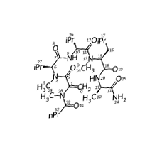 C=C(C(=O)N(C)[C@H](C(=O)N[C@H](C(=O)N(C)[C@@H](CC(C)C)C(=O)N[C@H](C)C(N)=O)C(C)C)C(C)C)N(C)C(=O)CCC